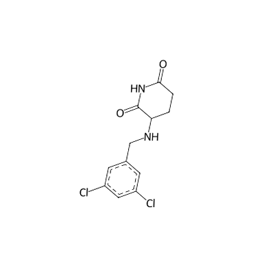 O=C1CCC(NCc2cc(Cl)cc(Cl)c2)C(=O)N1